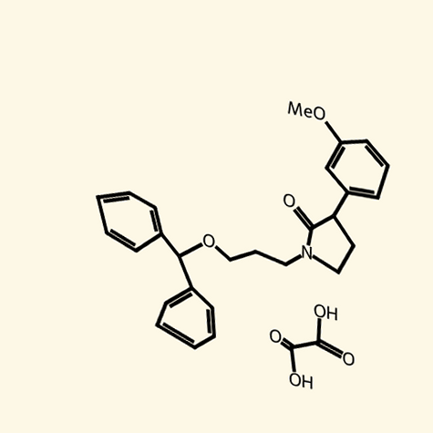 COc1cccc(C2CCN(CCCOC(c3ccccc3)c3ccccc3)C2=O)c1.O=C(O)C(=O)O